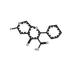 O=C(O)c1c(-c2ccccc2)oc2cnc(F)cc2c1=O